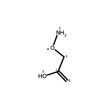 C=C(O)CON